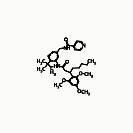 CCCCCC(CC(=O)Nc1cc(CNC(=O)c2ccncc2)ccc1C(C)(C)C)c1c(OC)cc(OC)cc1OC